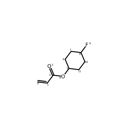 C=CC(=O)OC1CCC(F)CC1